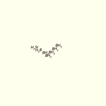 B.B.B.B.B.B.[SrH2]